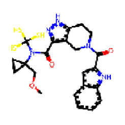 COCC1(N(C(=O)c2n[nH]c3c2CN(C(=O)c2cc4ccccc4[nH]2)CC3)C(S)(S)S)CC1